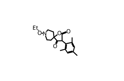 CCON1CCC2(CC1)OC(=O)C(c1c(C)cc(C)cc1C)C2=O